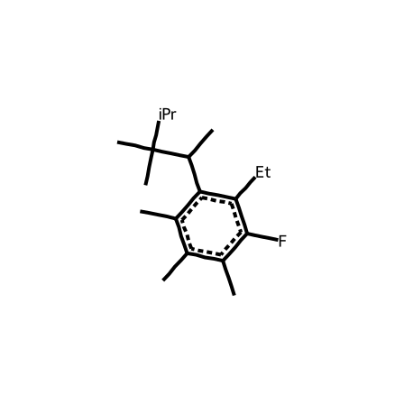 CCc1c(F)c(C)c(C)c(C)c1C(C)C(C)(C)C(C)C